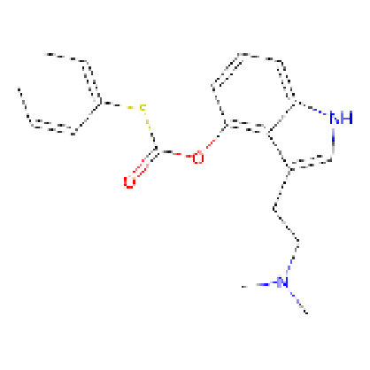 C/C=C\C(=C/C)SC(=O)Oc1cccc2[nH]cc(CCN(C)C)c12